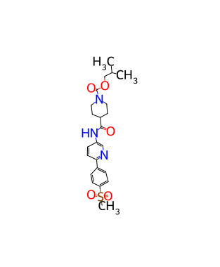 CC(C)COC(=O)N1CCC(C(=O)Nc2ccc(-c3ccc(S(C)(=O)=O)cc3)nc2)CC1